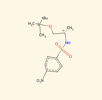 C[C@@H](CO[Si](C)(C)C(C)(C)C)NS(=O)(=O)c1ccc([N+](=O)[O-])cc1